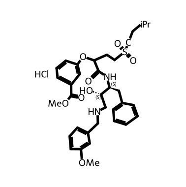 COC(=O)c1cccc(OC(CCS(=O)(=O)CCC(C)C)C(=O)N[C@@H](Cc2ccccc2)[C@@H](O)CNCc2cccc(OC)c2)c1.Cl